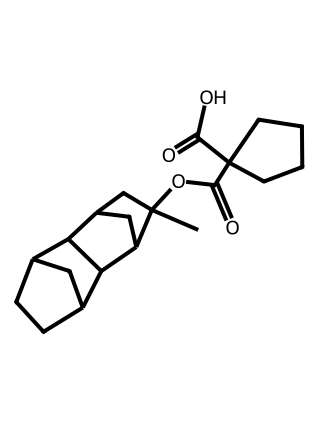 CC1(OC(=O)C2(C(=O)O)CCCC2)CC2CC1C1C3CCC(C3)C21